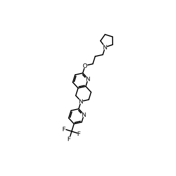 FC(F)(F)c1ccc(N2CCc3nc(OCCCN4CCCC4)ccc3C2)nc1